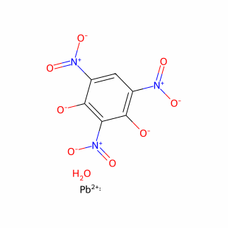 O.O=[N+]([O-])c1cc([N+](=O)[O-])c([O-])c([N+](=O)[O-])c1[O-].[Pb+2]